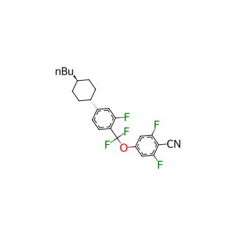 CCCC[C@H]1CC[C@H](c2ccc(C(F)(F)Oc3cc(F)c(C#N)c(F)c3)c(F)c2)CC1